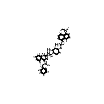 CN(C)c1cccc2c(ONC[C@H]3CC[C@H](CNc4nc(N(C)Cc5ccccc5)c5ccccc5n4)CC3)cccc12